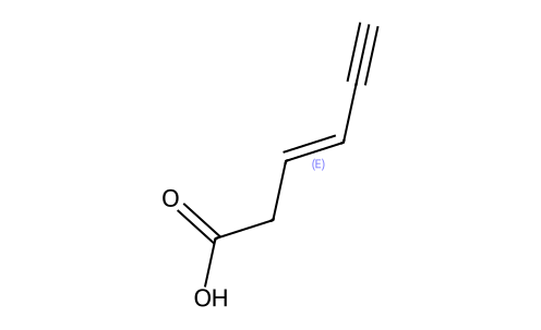 C#C/C=C/CC(=O)O